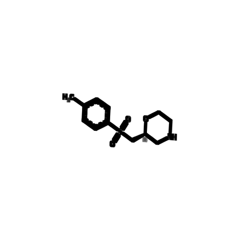 Cc1ccc(S(=O)(=O)C[C@@H]2CNCCO2)cc1